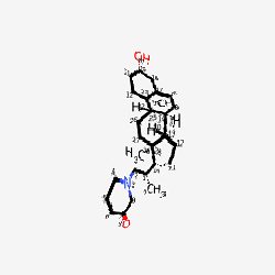 C[C@H](CN1CCCC(=O)C1)[C@H]1CC[C@H]2[C@@H]3CC=C4C[C@@H](O)CC[C@]4(C)[C@H]3CC[C@]12C